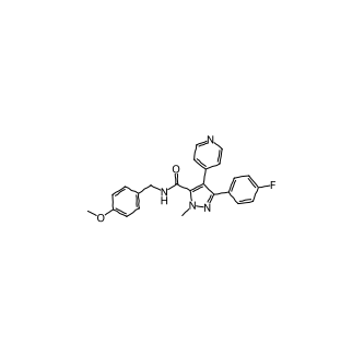 COc1ccc(CNC(=O)c2c(-c3ccncc3)c(-c3ccc(F)cc3)nn2C)cc1